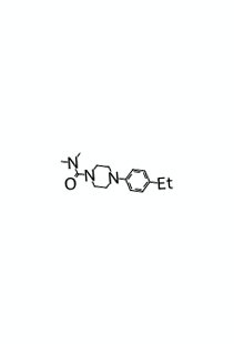 CCc1ccc(N2CCN(C(=O)N(C)C)CC2)cc1